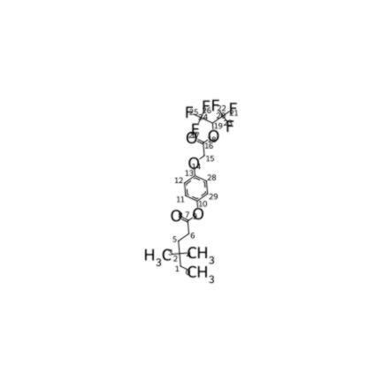 CCC(C)(C)CCC(=O)Oc1ccc(OCC(=O)OC(C(F)(F)F)C(F)(F)F)cc1